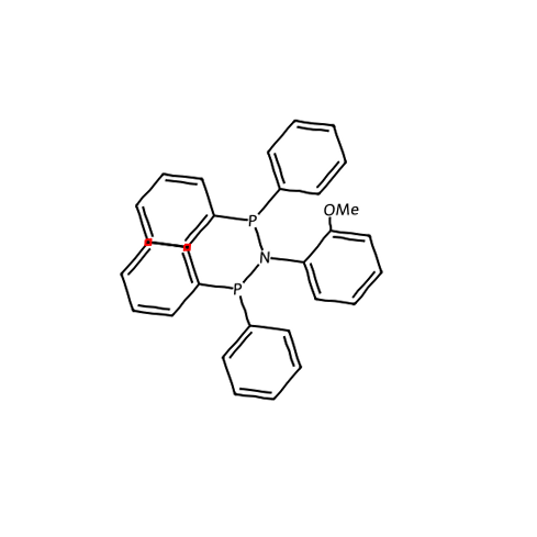 COc1ccccc1N(P(c1ccccc1)c1ccccc1)P(c1ccccc1)c1ccccc1